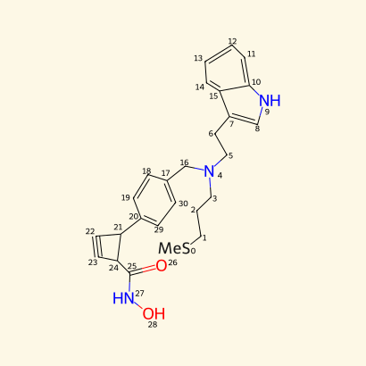 CSCCCN(CCc1c[nH]c2ccccc12)Cc1ccc(C2C#CC2C(=O)NO)cc1